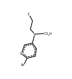 O=C(O)N(CCF)c1ccc(Br)nc1